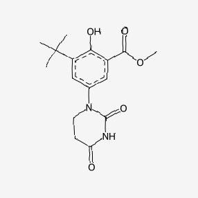 COC(=O)c1cc(N2CCC(=O)NC2=O)cc(C(C)(C)C)c1O